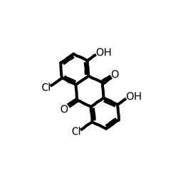 O=C1c2c(O)ccc(Cl)c2C(=O)c2c(Cl)ccc(O)c21